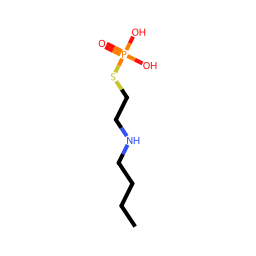 CCCCNCCSP(=O)(O)O